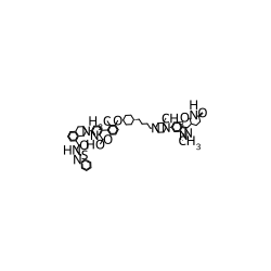 Cc1c(O[C@H]2CC[C@H](CCCCN3CCN(c4ccc5c(C6CCC(=O)NC6=O)nn(C)c5c4)[C@H](C)C3)CC2)cccc1-c1ccc(N2CCc3cccc(C(=O)Nc4nc5ccccc5s4)c3C2)nc1C(=O)O